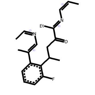 C/C=C\N=C(/CC)C(=O)CC(C)c1c(F)cccc1/C(C)=C/N=C\C